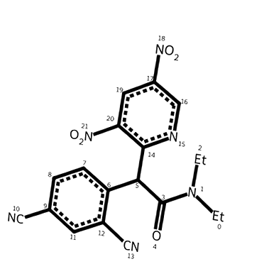 CCN(CC)C(=O)C(c1ccc(C#N)cc1C#N)c1ncc([N+](=O)[O-])cc1[N+](=O)[O-]